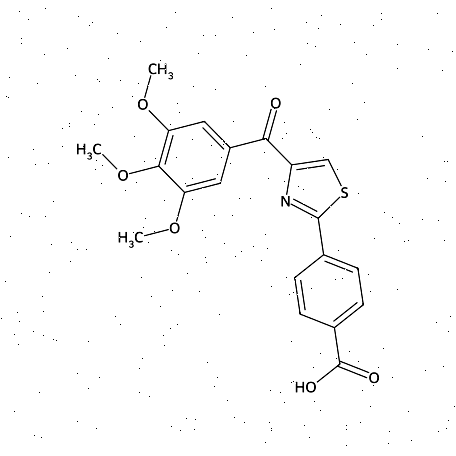 COc1cc(C(=O)c2csc(-c3ccc(C(=O)O)cc3)n2)cc(OC)c1OC